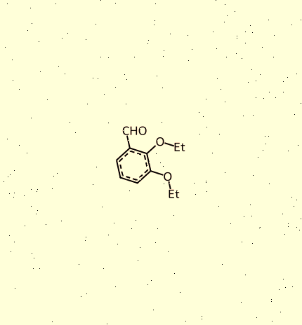 CCOc1cccc(C=O)c1OCC